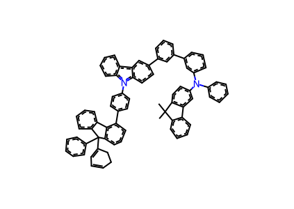 CC1(C)c2ccccc2-c2cc(N(c3ccccc3)c3cccc(-c4cccc(-c5ccc6c(c5)c5ccccc5n6-c5ccc(-c6cccc7c6-c6ccccc6C7(C6=CC=CCC6)c6ccccc6)cc5)c4)c3)ccc21